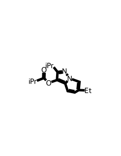 CCc1ccc2c(OC(=O)C(C)C)c(C(C)C)nn2c1